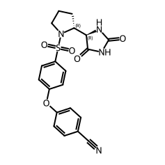 N#Cc1ccc(Oc2ccc(S(=O)(=O)N3CCC[C@@H]3[C@H]3NC(=O)NC3=O)cc2)cc1